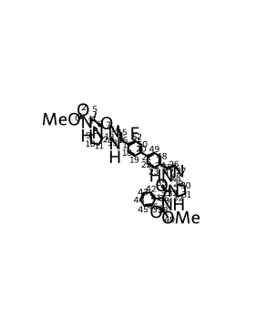 COC(=O)N[C@@H](C)C(=O)N1CCC[C@H]1c1ncc(-c2ccc(-c3ccc(-c4cnc([C@@H]5CCCN5C(=O)[C@H](NC(=O)OC)c5ccccc5)[nH]4)cc3)cc2F)[nH]1